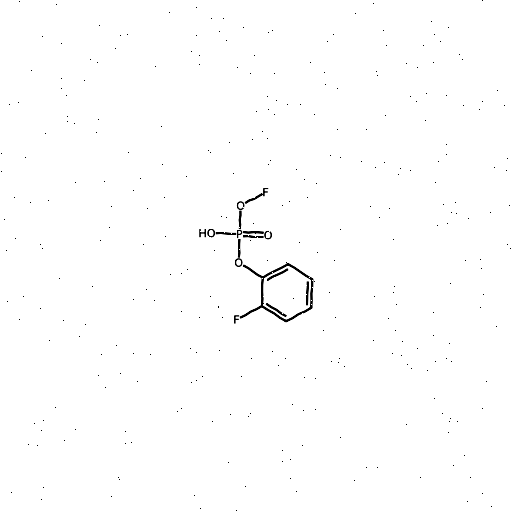 O=P(O)(OF)Oc1ccccc1F